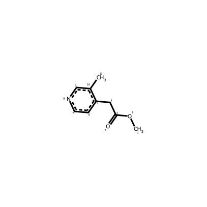 COC(=O)Cc1ccncc1C